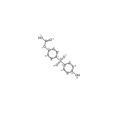 O=C(O)Oc1ccc(S(=O)(=O)c2ccc(O)cc2)cc1